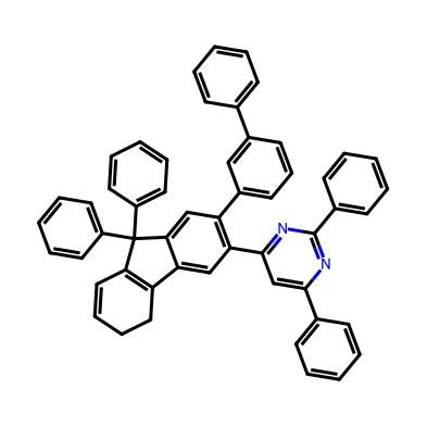 C1=CC2=C(CC1)c1cc(-c3cc(-c4ccccc4)nc(-c4ccccc4)n3)c(-c3cccc(-c4ccccc4)c3)cc1C2(c1ccccc1)c1ccccc1